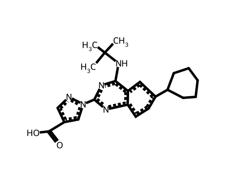 CC(C)(C)Nc1nc(-n2cc(C(=O)O)cn2)nc2ccc(C3CCCCC3)cc12